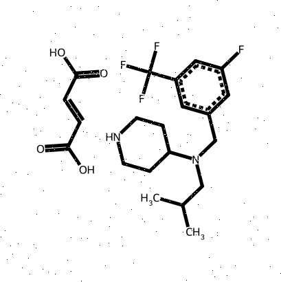 CC(C)CN(Cc1cc(F)cc(C(F)(F)F)c1)C1CCNCC1.O=C(O)C=CC(=O)O